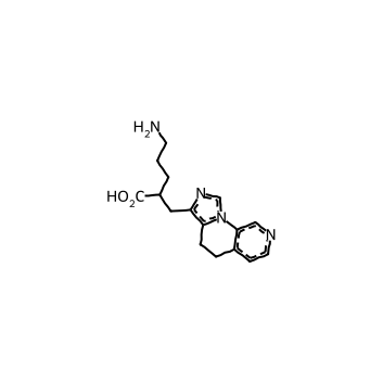 NCCCC(Cc1ncn2c1CCc1ccncc1-2)C(=O)O